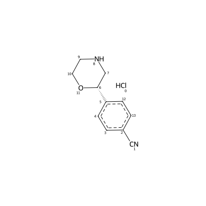 Cl.N#Cc1ccc([C@H]2CNCCO2)cc1